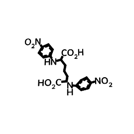 O=C(O)C(CCCC(Nc1ccc([N+](=O)[O-])cc1)C(=O)O)Nc1ccc([N+](=O)[O-])cc1